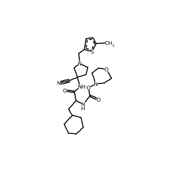 Cc1ccc(CN2CCC(C#N)(NC(=O)C(CC3CCCCC3)NC(=O)ON3CCOCC3)C2)s1